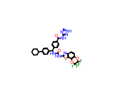 O=C(Nc1nc2ccc3c(c2s1)OC(F)(F)C(F)(F)O3)NC(c1ccc(C(=O)Nc2nn[nH]n2)cc1)c1ccc(C2CCCCC2)cc1